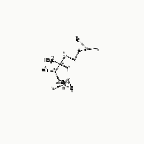 CC1OC1COC(CC1OC1C)(C(=O)O)C(O)C(=O)O